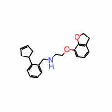 C1=CCC(c2ccccc2CNCCOc2cccc3c2OCC3)C1